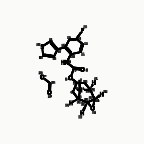 C[N+]1(C)[C@@H]2CC(OC(=O)Nc3ccc(F)cc3-c3ccsc3)C[C@H]1[C@@H]1O[C@@H]12.O=C[O-]